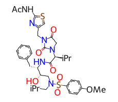 COc1ccc(S(=O)(=O)N(CC(C)C)C[C@H](O)[C@H](Cc2ccccc2)NC(=O)[C@H](C(C)C)N2CC(=O)N(Cc3csc(NC(C)=O)n3)C2=O)cc1